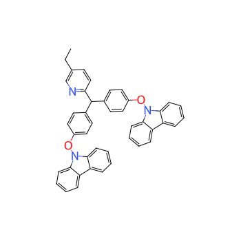 CCc1ccc(C(c2ccc(On3c4ccccc4c4ccccc43)cc2)c2ccc(On3c4ccccc4c4ccccc43)cc2)nc1